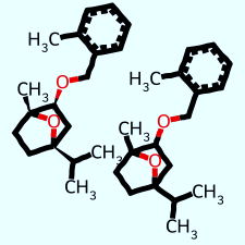 Cc1ccccc1COC1CC2(C(C)C)CCC1(C)O2.Cc1ccccc1CO[C@H]1C[C@]2(C(C)C)CC[C@@]1(C)O2